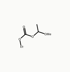 C[CH]OC(=O)OC(C)OC